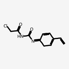 C=CC1=CCC(=NC(=O)NC(=O)CCl)C=C1